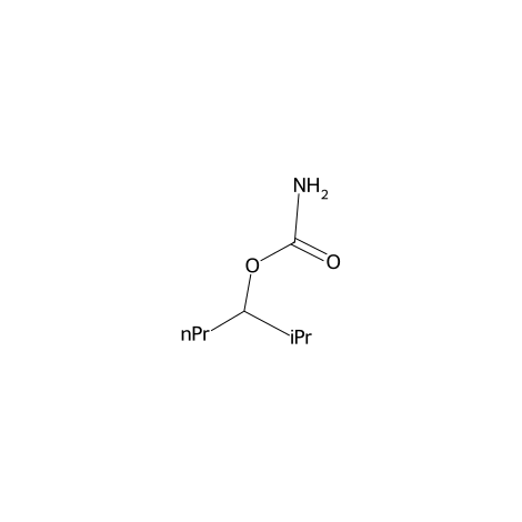 CCCC(OC(N)=O)C(C)C